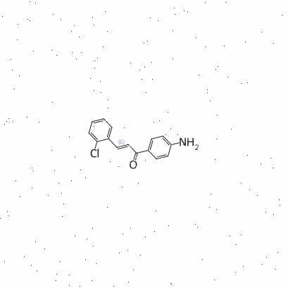 Nc1ccc(C(=O)/C=C/c2ccccc2Cl)cc1